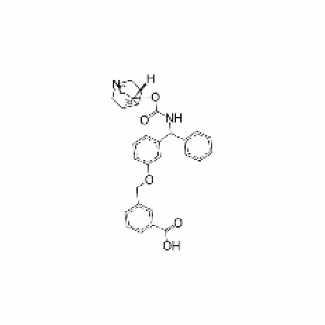 O=C(NC(c1ccccc1)c1cccc(OCc2cccc(C(=O)O)c2)c1)O[C@H]1CN2CCC1CC2